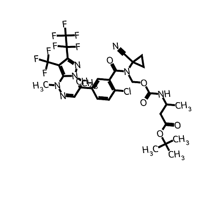 C=C(/C=N\N(C)c1c(C(F)(F)F)c(C(F)(F)C(F)(F)F)nn1C)c1ccc(Cl)c(C(=O)N(COC(=O)NC(C)CC(=O)OC(C)(C)C)C2(C#N)CC2)c1